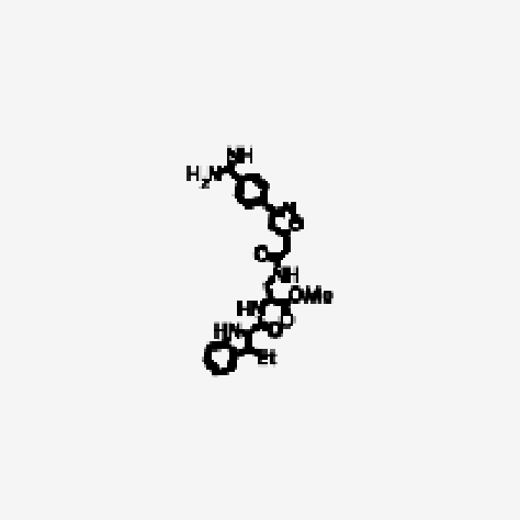 CCc1c(C(=O)NC(CNC(=O)CC2CC(c3ccc(C(=N)N)cc3)=NO2)C(=O)OC)[nH]c2ccccc12